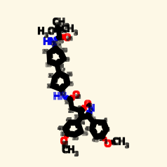 COc1ccc(-c2noc(CC(=O)Nc3ccc(-c4ccc(NC(=O)C(C)(C)C)cc4)cc3)c2-c2ccc(OC)cc2)cc1